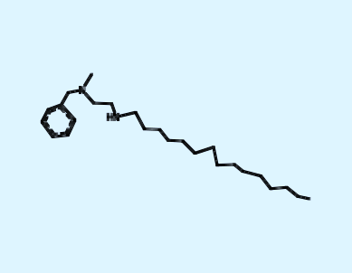 CCCCCCCCCCCCCCCNCCN(C)Cc1ccccc1